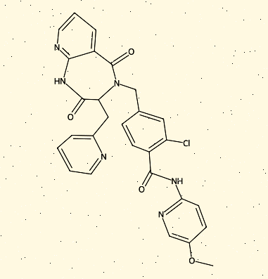 COc1ccc(NC(=O)c2ccc(CN3C(=O)c4cccnc4NC(=O)C3Cc3ccccn3)cc2Cl)nc1